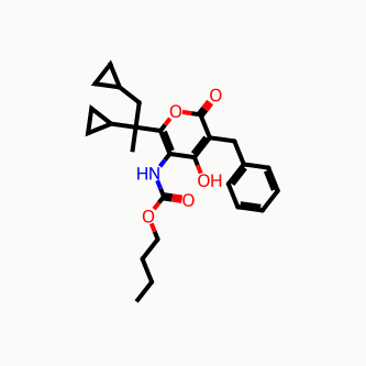 CCCCOC(=O)Nc1c(C(C)(CC2CC2)C2CC2)oc(=O)c(Cc2ccccc2)c1O